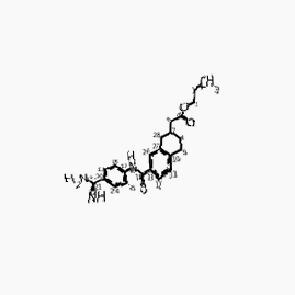 CCCOC(=O)CC1CCc2ccc(C(=O)Nc3ccc(C(=N)N)cc3)cc2C1